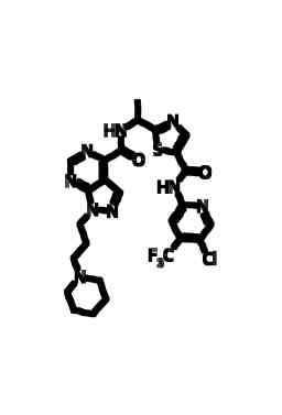 CC(NC(=O)c1ncnc2c1cnn2CCCN1CCCCC1)c1ncc(C(=O)Nc2cc(C(F)(F)F)c(Cl)cn2)s1